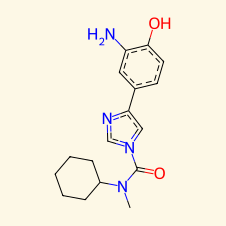 CN(C(=O)n1cnc(-c2ccc(O)c(N)c2)c1)C1CCCCC1